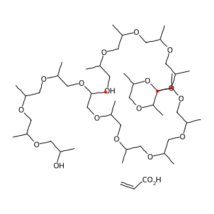 C=CC(=O)O.CC(O)COC(C)COC(C)COC(C)COC(C)COC(C)COC(C)COC(C)COC(C)COC(C)COC(C)COC(C)COC(C)COC(C)COC(C)COC(C)CO